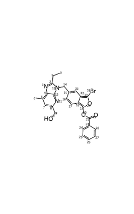 CCc1nc2c(C)cc(CO)nc2n1Cc1ccc2c(OC(=O)c3ccccc3)oc(Br)c2c1